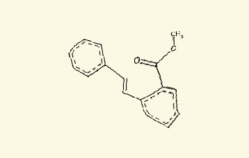 COC(=O)c1ccccc1C=Cc1ccccc1